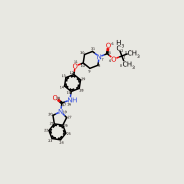 CC(C)(C)OC(=O)N1CCC(Oc2ccc(NC(=O)N3Cc4ccccc4C3)cc2)CC1